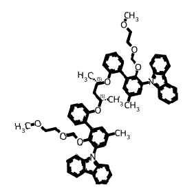 COCCOCOc1c(-c2ccccc2O[C@@H](C)C[C@H](C)Oc2ccccc2-c2cc(C)cc(-n3c4ccccc4c4ccccc43)c2OCOCCOC)cc(C)cc1-n1c2ccccc2c2ccccc21